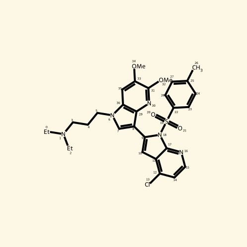 CCN(CC)CCCn1cc(-c2cc3c(Cl)ccnc3n2S(=O)(=O)c2ccc(C)cc2)c2nc(OC)c(OC)cc21